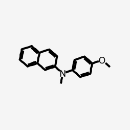 COc1ccc(N(C)c2ccc3ccccc3c2)cc1